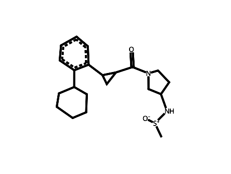 C[S+]([O-])NC1CCN(C(=O)C2CC2c2ccccc2C2CCCCC2)C1